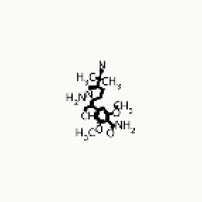 C=C/C(=C1/C=CC(C(C)(C)C#N)=CN1N)c1cc(OC)c(C(N)=O)c(OC)c1